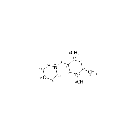 CC1CC(C)N(C)CC1CN1CCOCC1